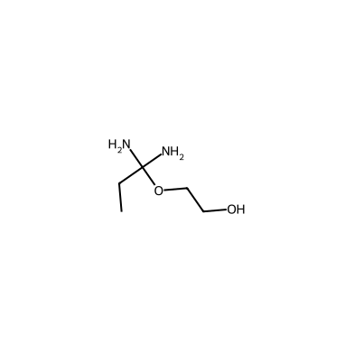 CCC(N)(N)OCCO